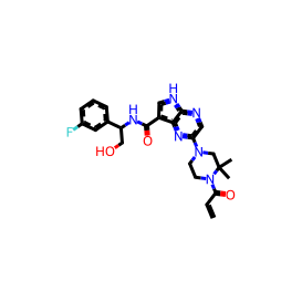 C=CC(=O)N1CCN(c2cnc3[nH]cc(C(=O)NC(CO)c4cccc(F)c4)c3n2)CC1(C)C